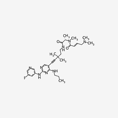 CCCNc1nc(Nc2cncc(F)c2)ncc1C#CC(C)(C)CCNC(=O)[C@H](C)N(C)C(=O)/C=C/CN(C)C